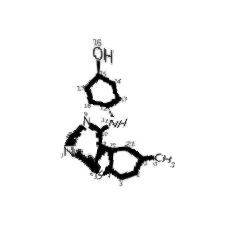 CC1CCc2sc3ncnc(N[C@H]4CC[C@H](O)CC4)c3c2C1